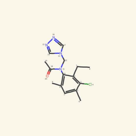 CCc1c(Cl)c(C)cc(C)c1N(Cn1cnnc1)C(C)=O